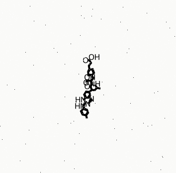 Cc1ccc(NC(=NC#N)Nc2ccc(C(CC(C)C)C(=O)NC(Cc3ccc(CCC(=O)O)cc3)C(=O)O)cc2)cc1